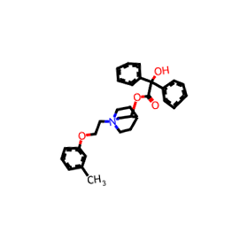 Cc1cccc(OCC[N+]23CCC(CC2)C(OC(=O)C(O)(c2ccccc2)c2ccccc2)C3)c1